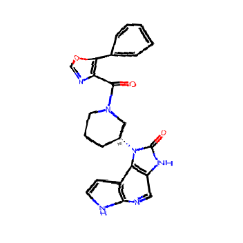 O=C(c1ncoc1-c1ccccc1)N1CCC[C@@H](n2c(=O)[nH]c3cnc4[nH]ccc4c32)C1